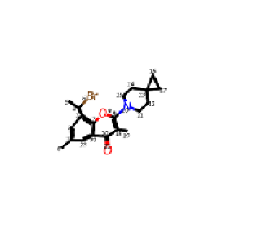 Cc1cc(C(C)Br)c2oc(N3CCC4(CC3)CC4)c(C)c(=O)c2c1